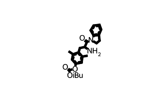 Cc1cc(OC(=O)OCC(C)C)cc(C)c1CC(N)C(=O)N1CCc2ccccc21